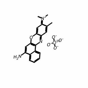 Cc1cc2nc3c(cc(N)c4ccccc43)oc-2cc1=[N+](C)C.[O-][Cl+3]([O-])([O-])[O-]